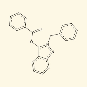 O=C(Oc1c2ccccc2nn1Cc1ccccc1)c1ccccc1